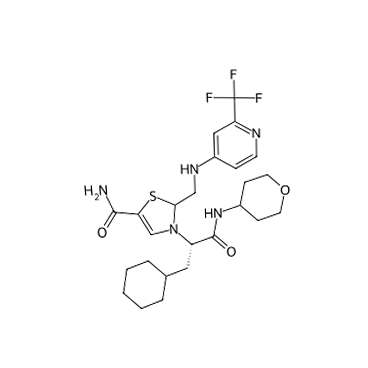 NC(=O)C1=CN([C@@H](CC2CCCCC2)C(=O)NC2CCOCC2)C(CNc2ccnc(C(F)(F)F)c2)S1